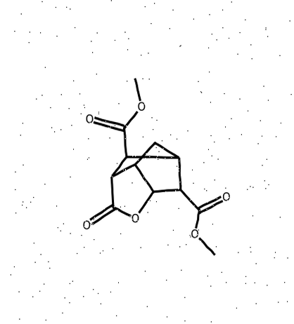 COC(=O)C1C2CC3C1OC(=O)C3C2C(=O)OC